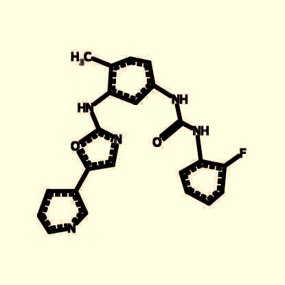 Cc1ccc(NC(=O)Nc2ccccc2F)cc1Nc1ncc(-c2cccnc2)o1